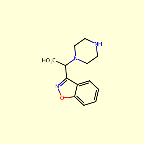 O=C(O)C(c1noc2ccccc12)N1CCNCC1